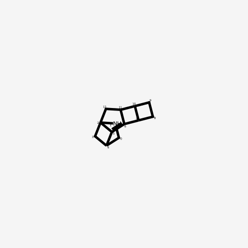 C1NC23CC1C2=C1C2CCC2C1C3